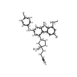 CNc1cc(F)cc2c1[nH]c1nc(Oc3cnc(C)nc3)nc(N3CCC(N)(CCC#N)C3)c12